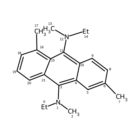 CCN(C)c1c2cc(C)ccc2c(N(C)CC)c2c(C)cccc12